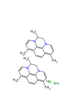 Br.Br.CC1=c2ccc3c4c2N(C=C1)CC(C)N4C=CC=3C.CC1=c2ccc3c4c2N(C=C1)CC(C)N4C=CC=3C